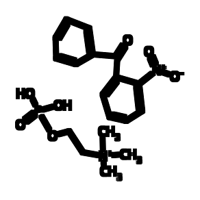 C[N+](C)(C)CCOP(=O)(O)O.O=C(c1ccccc1)c1ccccc1[N+](=O)[O-]